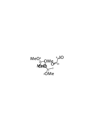 COC(C)OC.COC(C=O)OC.O=CC=O